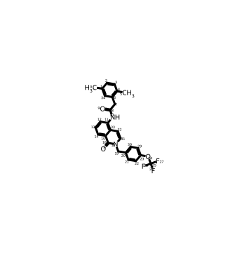 Cc1ccc(C)c(CC(=O)Nc2cccc3c(=O)n(Cc4ccc(OC(F)(F)F)cc4)ccc23)c1